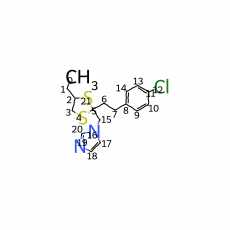 CCC1CSC(CCc2ccc(Cl)cc2)(Cn2ccnc2)S1